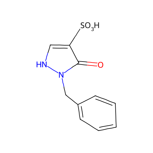 O=c1c(S(=O)(=O)O)c[nH]n1Cc1ccccc1